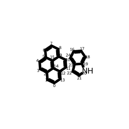 c1cc2ccc3cccc4ccc(c1)c2c34.c1ccc2[nH]ccc2c1